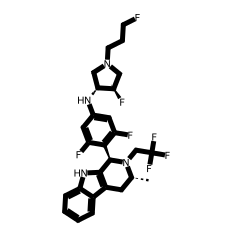 C[C@@H]1Cc2c([nH]c3ccccc23)[C@@H](c2c(F)cc(N[C@@H]3CN(CCCF)C[C@H]3F)cc2F)N1CC(F)(F)F